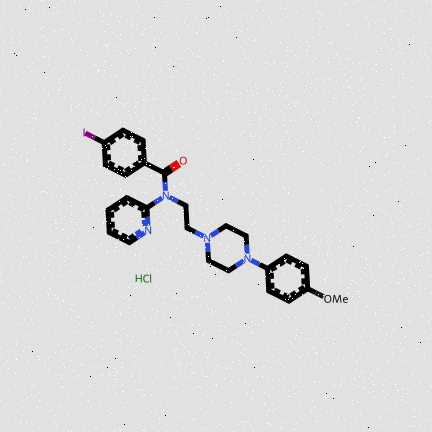 COc1ccc(N2CCN(CCN(C(=O)c3ccc(I)cc3)c3ccccn3)CC2)cc1.Cl